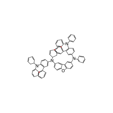 C1=CCC(N(c2ccc(N(c3ccccc3)C3C=CC=CC3)c(-c3ccccc3)c2)c2ccc3oc4ccc(N(c5ccccc5)c5ccc(N(c6ccccc6)c6ccccc6)c(-c6ccccc6)c5)cc4c3c2)C=C1